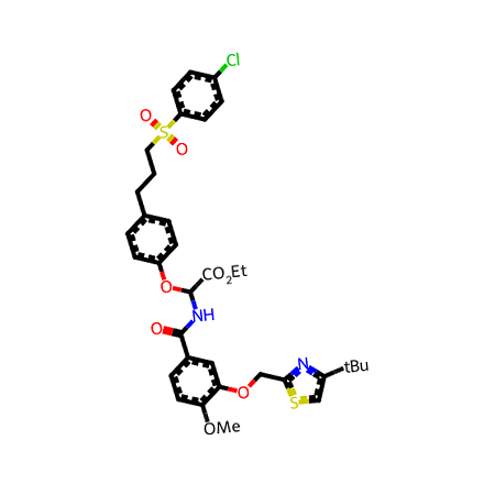 CCOC(=O)C(NC(=O)c1ccc(OC)c(OCc2nc(C(C)(C)C)cs2)c1)Oc1ccc(CCCS(=O)(=O)c2ccc(Cl)cc2)cc1